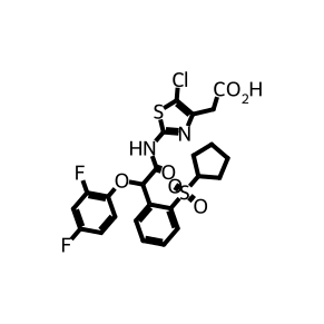 O=C(O)Cc1nc(NC(=O)C(Oc2ccc(F)cc2F)c2ccccc2S(=O)(=O)C2CCCC2)sc1Cl